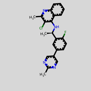 Cc1ncc(-c2ccc(F)c([C@@H](C)Nc3c(Cl)c(C)nc4ccccc34)c2)cn1